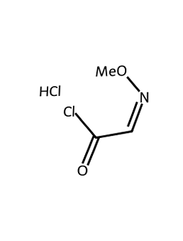 CO/N=C\C(=O)Cl.Cl